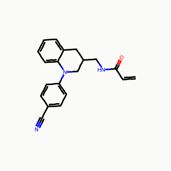 C=CC(=O)NCC1Cc2ccccc2N(c2ccc(C#N)cc2)C1